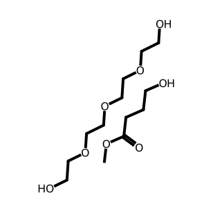 COC(=O)CCCO.OCCOCCOCCOCCO